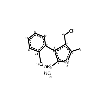 CCCCc1nc(C)c(CCl)n1-c1ccccc1Cl.Cl